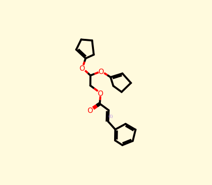 O=C(/C=C/c1ccccc1)OCC(OC1=CCCC1)OC1=CCCC1